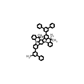 CC1(C)c2ccccc2-n2c3ccc(-c4cc(P)cc(-c5ccccc5)c4)cc3c3cc4c(c1c32)c1cc(-c2cc(-c3ccccc3)cc(-c3ccccc3)c2)cc2c1n4-c1ccccc1C2(C)C